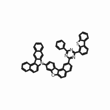 c1ccc(-c2nc(-c3ccc4ccc5oc6cc(-n7c8cc9ccccc9cc8c8c9ccccc9ccc87)ccc6c5c4c3)nc(-c3cccc4c3sc3ccccc34)n2)cc1